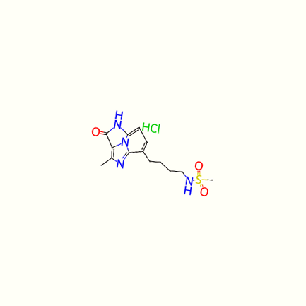 Cc1nc2c(CCCCNS(C)(=O)=O)ccc3[nH]c(=O)c1n32.Cl